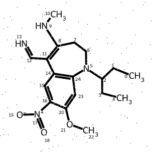 CCC(CC)N1CCC(NC)=C(C=N)c2cc([N+](=O)[O-])c(OC)cc21